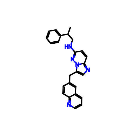 CC(CNc1ccc2ncc(Cc3ccc4ncccc4c3)n2n1)c1ccccc1